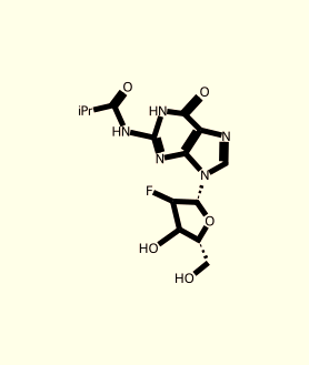 CC(C)C(=O)Nc1nc2c(ncn2[C@@H]2O[C@H](CO)C(O)C2F)c(=O)[nH]1